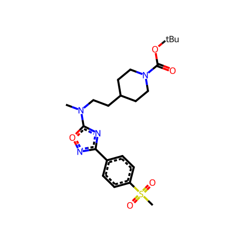 CN(CCC1CCN(C(=O)OC(C)(C)C)CC1)c1nc(-c2ccc(S(C)(=O)=O)cc2)no1